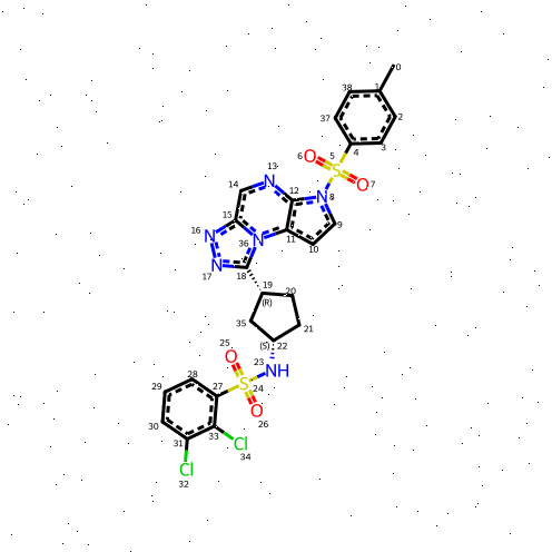 Cc1ccc(S(=O)(=O)n2ccc3c2ncc2nnc([C@@H]4CC[C@H](NS(=O)(=O)c5cccc(Cl)c5Cl)C4)n23)cc1